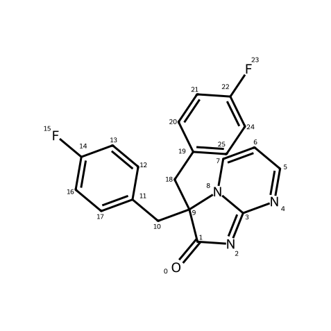 O=C1N=C2N=CC=CN2C1(Cc1ccc(F)cc1)Cc1ccc(F)cc1